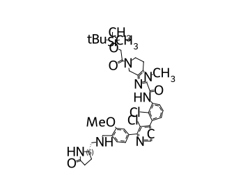 COc1cc(-c2nccc(-c3cccc(NC(=O)c4nc5c(n4C)CCN(C(=O)CO[Si](C)(C)C(C)(C)C)C5)c3Cl)c2Cl)ccc1CNC[C@@H]1CCC(=O)N1